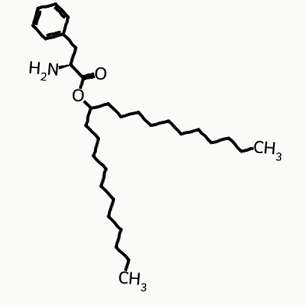 CCCCCCCCCCCC(CCCCCCCCCCC)OC(=O)[C@@H](N)Cc1ccccc1